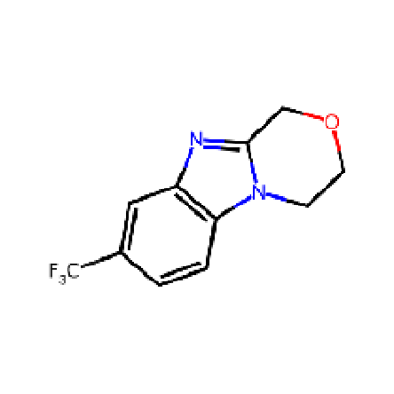 FC(F)(F)c1ccc2c(c1)nc1n2CCOC1